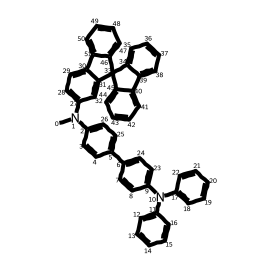 CN(c1ccc(-c2ccc(N(c3ccccc3)c3ccccc3)cc2)cc1)c1ccc2c(c1)C1(c3ccccc3-c3ccccc31)c1ccccc1-2